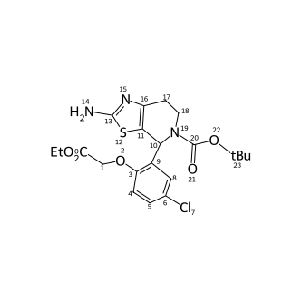 CCOC(=O)COc1ccc(Cl)cc1C1c2sc(N)nc2CCN1C(=O)OC(C)(C)C